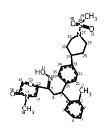 Cc1ccccc1C(CC(=NO)c1ccc(=O)n(C)c1)c1ccc(C2CCN(S(C)(=O)=O)CC2)cc1